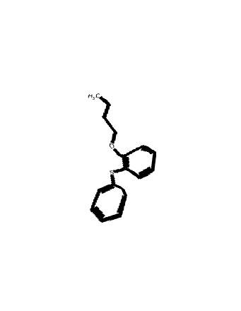 CCCCOc1ccc[c]c1Sc1ccccc1